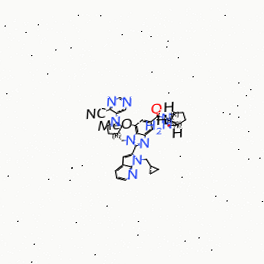 COc1cc(C(=O)N2C[C@H]3CC[C@@H]2[C@@H]3N)cc2nc(-c3cc4cccnc4n3CC3CC3)n(C[C@@H]3CCN(c4cncnc4C#N)C3)c12